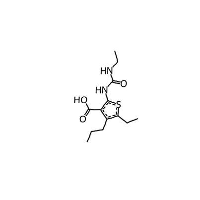 CCCc1c(CC)sc(NC(=O)NCC)c1C(=O)O